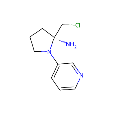 N[C@@]1(CCl)CCCN1c1cccnc1